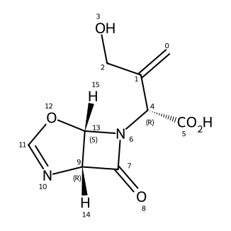 C=C(CO)[C@H](C(=O)O)N1C(=O)[C@@H]2N=CO[C@@H]21